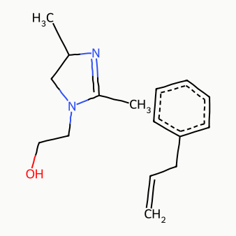 C=CCc1ccccc1.CC1=NC(C)CN1CCO